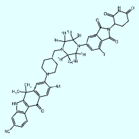 [2H]C1([2H])N(CC2CCN(c3cc4c(cc3CC)C(=O)c3c([nH]c5cc(C#N)ccc35)C4(C)C)CC2)C([2H])([2H])C([2H])([2H])N(c2cc(F)c3c(c2)C(=O)N(C2CCC(=O)NC2=O)C3=O)C1([2H])[2H]